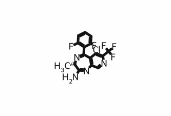 C[C@@H]1N=C(c2c(F)cccc2F)c2c(cnc(C(F)(F)F)c2Cl)N=C1N